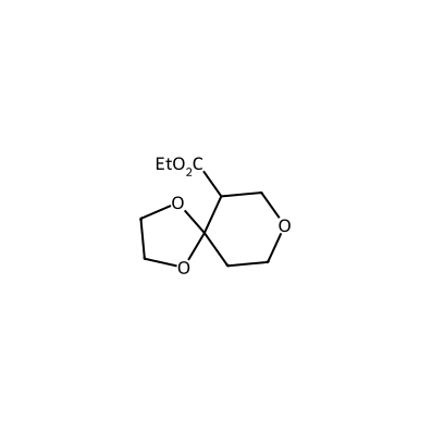 CCOC(=O)C1COCCC12OCCO2